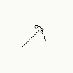 CCCCCCCCCCCCCCCCC1N(CCCCCCC)C=CN1Cc1ccccc1